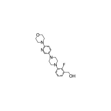 OCc1cccc(N2CCN(c3ccc(N4CCOCC4)nc3)CC2)c1F